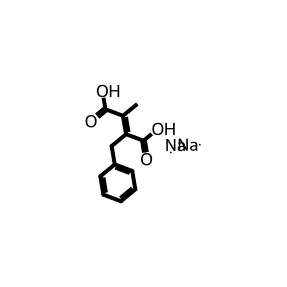 CC(C(=O)O)=C(Cc1ccccc1)C(=O)O.[Na].[Na]